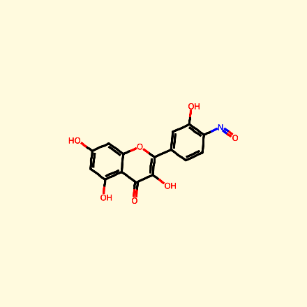 O=Nc1ccc(-c2oc3cc(O)cc(O)c3c(=O)c2O)cc1O